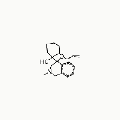 C=CCOC1(C2(O)CCCCC2)CN(C)Cc2ccccc21